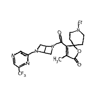 CCN1CCC2(CC1)OC(=O)C(C)=C2C(=O)N1CC2C1CN2c1cncc(C(F)(F)F)n1